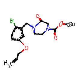 C=CCOc1ccc(Br)c(CN2CCN(C(=O)OC(C)(C)C)CC2=O)c1